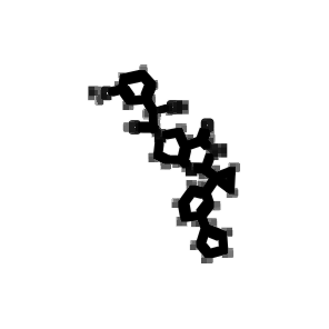 O=C([C@H](O)c1cccc(C(F)(F)F)c1)N1CCc2nc(C3(c4cccc(C5=CCCC5)c4)CC3)[nH]c(=O)c2C1